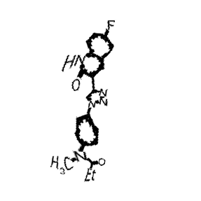 CCC(=O)N(C)c1ccc(-n2cc(-c3cc4cc(F)ccc4[nH]c3=O)nn2)cc1